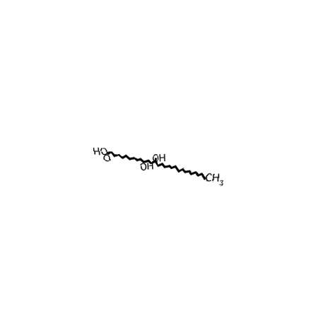 CCCCCCCCCCCCCCCCC(O)CCC(O)CCCCCCCCCC(=O)O